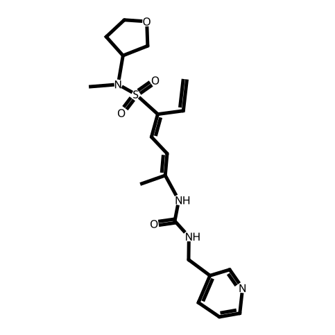 C=C/C(=C\C=C(/C)NC(=O)NCc1cccnc1)S(=O)(=O)N(C)C1CCOC1